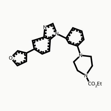 CCOC(=O)N1CCN(c2cccc(-n3cnc4cc(-c5ccoc5)ccc43)c2)CC1